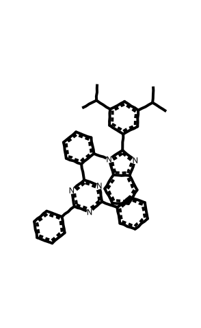 CC(C)c1cc(-c2nc3ccccc3n2-c2ccccc2-c2nc(-c3ccccc3)nc(-c3ccccc3)n2)cc(C(C)C)c1